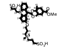 COC(=O)c1cc(C)c(OC(=O)c2c3ccccc3[n+](CCCS(=O)(=O)O)c3ccc(OCCC[N+](C)(C)CCCS(=O)(=O)O)cc23)c(C)c1